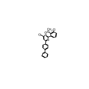 C[S+]([O-])c1c(Cl)cccc1-c1nc(Cl)cc(-c2ccc(-c3ccccc3)cc2)n1